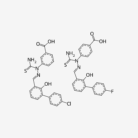 NC(=S)N(N=Cc1cccc(-c2ccc(Cl)cc2)c1O)c1cccc(C(=O)O)c1.NC(=S)N(N=Cc1cccc(-c2ccc(F)cc2)c1O)c1ccc(C(=O)O)cc1